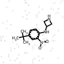 CC(C)(C)c1ccc(NC2CNC2)c([N+](=O)[O-])c1